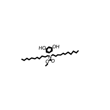 CCCCCCCCCCCN(CCCCCCCCCCC)C(=O)OCC.Oc1cccc(O)c1